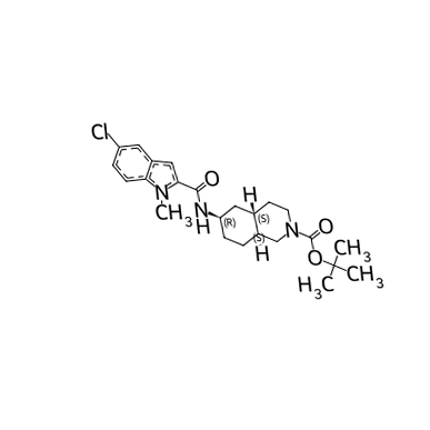 Cn1c(C(=O)N[C@@H]2CC[C@@H]3CN(C(=O)OC(C)(C)C)CC[C@H]3C2)cc2cc(Cl)ccc21